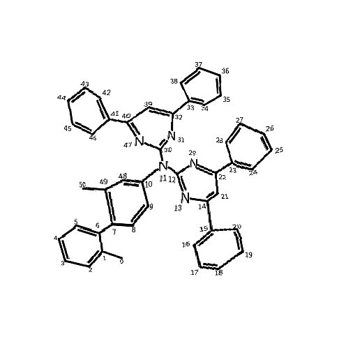 Cc1ccccc1-c1ccc(N(c2nc(-c3ccccc3)cc(-c3ccccc3)n2)c2nc(-c3ccccc3)cc(-c3ccccc3)n2)cc1C